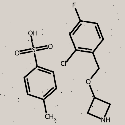 Cc1ccc(S(=O)(=O)O)cc1.Fc1ccc(COC2CNC2)c(Cl)c1